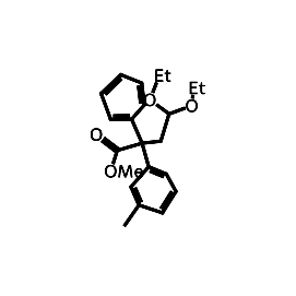 CCOC(CC(C(=O)OC)(c1ccccc1)c1cccc(C)c1)OCC